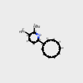 CCCCc1nc(-c2ccccccccc2)ccc1CCC